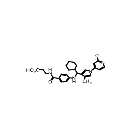 Cc1cn(-c2ccnc(Cl)c2)cc1C(Nc1ccc(C(=O)NCCC(=O)O)cc1)C1CCCCC1